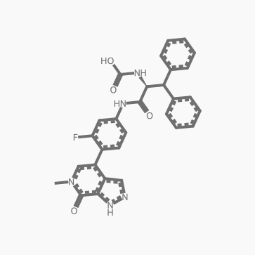 Cn1cc(-c2ccc(NC(=O)[C@@H](NC(=O)O)C(c3ccccc3)c3ccccc3)cc2F)c2cn[nH]c2c1=O